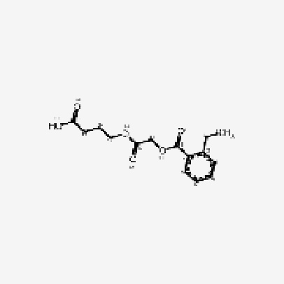 CCc1ccccc1C(=O)OCC(=O)OCCCC(=O)O